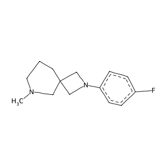 CN1CCCC2(C1)CN(c1ccc(F)cc1)C2